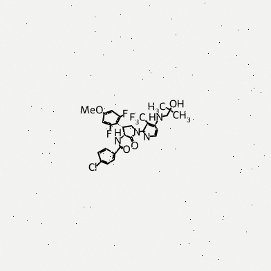 COc1cc(F)c([C@@H]2CN(c3nccc(NCC(C)(C)O)c3C(F)(F)F)C(=O)[C@H]2NC(=O)c2ccc(Cl)cc2)c(F)c1